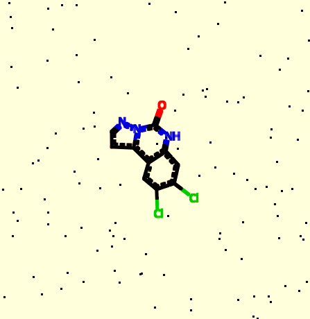 O=c1[nH]c2cc(Cl)c(Cl)cc2c2ccnn12